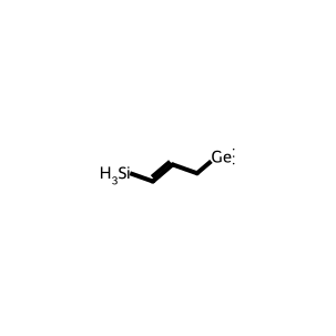 [SiH3]C=C[CH2][Ge]